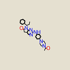 CCC(c1ccccc1)N1C(=O)Cc2cnc(Nc3ccc(N4CCN(C(C)=O)CC4)cc3)nc21